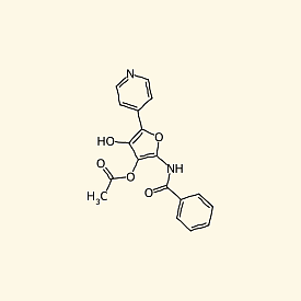 CC(=O)Oc1c(NC(=O)c2ccccc2)oc(-c2ccncc2)c1O